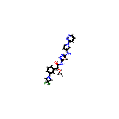 CO[C@H](C(=O)Nc1nnc(N[C@@H]2CCN(c3cccnn3)C2)s1)c1cccc(N2CC(F)(F)C2)c1